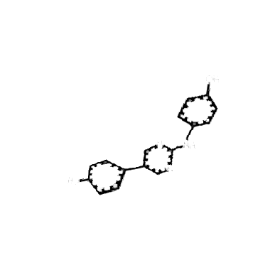 Oc1ccc(Nc2ncc(-c3ccc(O)cc3)cn2)cc1